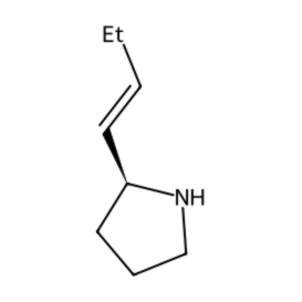 CC/C=C/[C@@H]1CCCN1